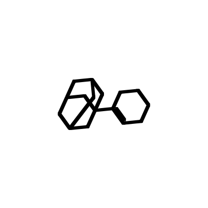 C1=C(C23CC4CC(CC(C4)C2)C3)CCCC1